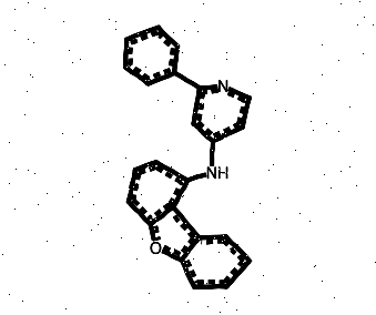 c1ccc(-c2cc(Nc3cccc4oc5ccccc5c34)ccn2)cc1